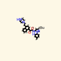 Cc1ccc(-n2nc(C(C)(C)C)cc2NC(=O)C(=O)c2ccc(CCN3CCNCC3)c3ccccc23)cc1